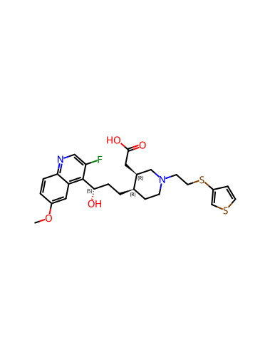 COc1ccc2ncc(F)c([C@@H](O)CC[C@@H]3CCN(CCSc4ccsc4)C[C@@H]3CC(=O)O)c2c1